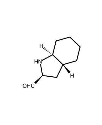 O=[C][C@@H]1C[C@H]2CCCC[C@@H]2N1